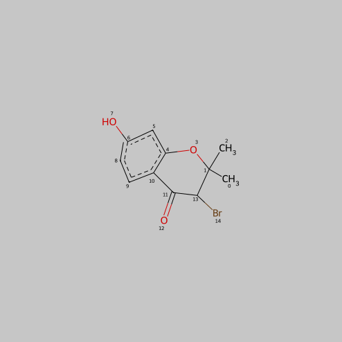 CC1(C)Oc2cc(O)ccc2C(=O)C1Br